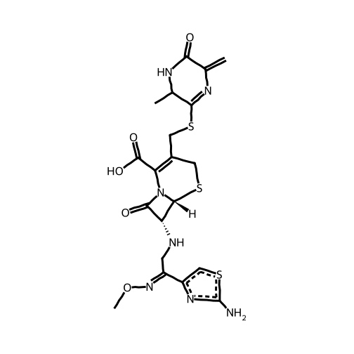 C=C1N=C(SCC2=C(C(=O)O)N3C(=O)[C@@H](NC/C(=N\OC)c4csc(N)n4)[C@H]3SC2)C(C)NC1=O